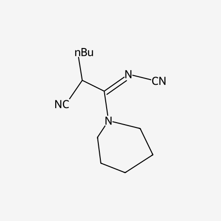 CCCCC(C#N)/C(=N/C#N)N1CCCCC1